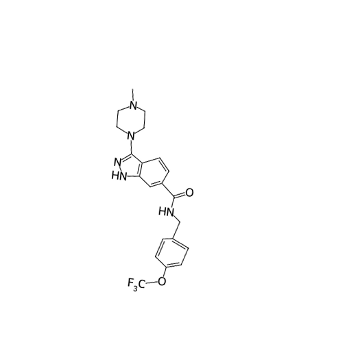 CN1CCN(c2n[nH]c3cc(C(=O)NCc4ccc(OC(F)(F)F)cc4)ccc23)CC1